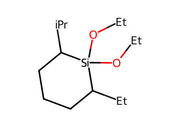 CCO[Si]1(OCC)C(CC)CCCC1C(C)C